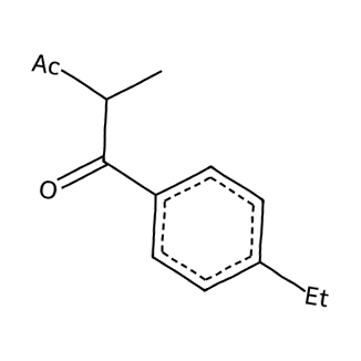 CCc1ccc(C(=O)C(C)C(C)=O)cc1